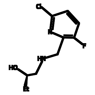 CC[C@@H](O)CNCc1nc(Cl)ccc1F